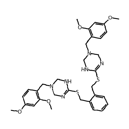 COc1ccc(CN2CN=C(SCc3ccccc3CSC3=NCN(Cc4ccc(OC)cc4OC)CN3)NC2)c(OC)c1